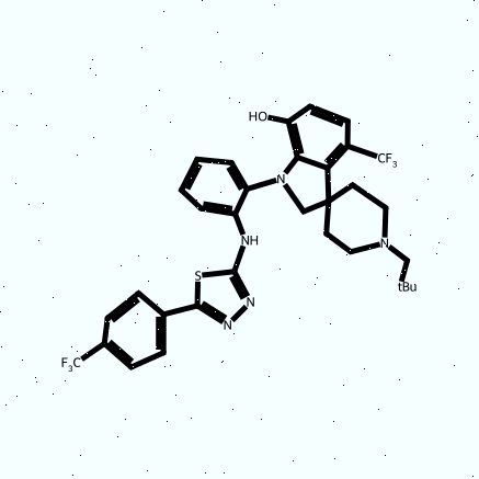 CC(C)(C)CN1CCC2(CC1)CN(c1ccccc1Nc1nnc(-c3ccc(C(F)(F)F)cc3)s1)c1c(O)ccc(C(F)(F)F)c12